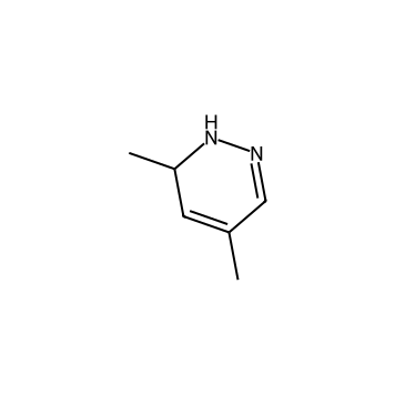 CC1=CC(C)NN=C1